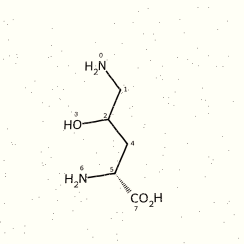 NCC(O)C[C@@H](N)C(=O)O